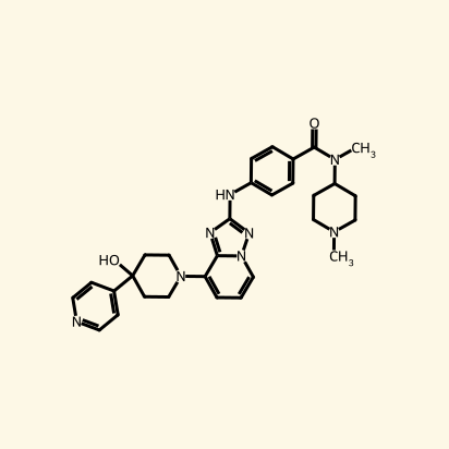 CN1CCC(N(C)C(=O)c2ccc(Nc3nc4c(N5CCC(O)(c6ccncc6)CC5)cccn4n3)cc2)CC1